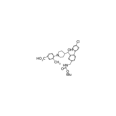 Cc1cc(C(=O)O)ccc1N1CCC(C(O)c2cc(CNC(=O)OC(C)(C)C)ccc2-c2ccc(Cl)cc2)CC1